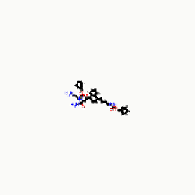 NCCCN(C(=O)OCc1ccccc1)[C@@H](CCc1ccc(CCCCNC(=O)OCc2ccccc2)c2ccccc12)C(N)=O